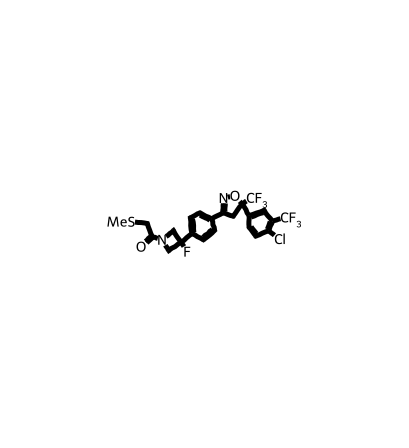 CSCC(=O)N1CC(F)(c2ccc(C3=NOC(c4ccc(Cl)c(C(F)(F)F)c4)(C(F)(F)F)C3)cc2)C1